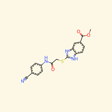 COC(=O)c1ccc2[nH]c(SCC(=O)Nc3ccc(C#N)cc3)nc2c1